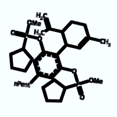 C=C(C)C1CCC(C)=CC1c1c(OP(=O)(OC)C2CCCC2)cc(CCCCC)cc1OP(=O)(OC)C1CCCC1